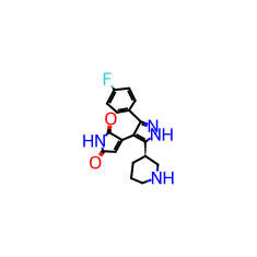 O=C1C=C(c2c(-c3ccc(F)cc3)n[nH]c2[C@@H]2CCCNC2)C(=O)N1